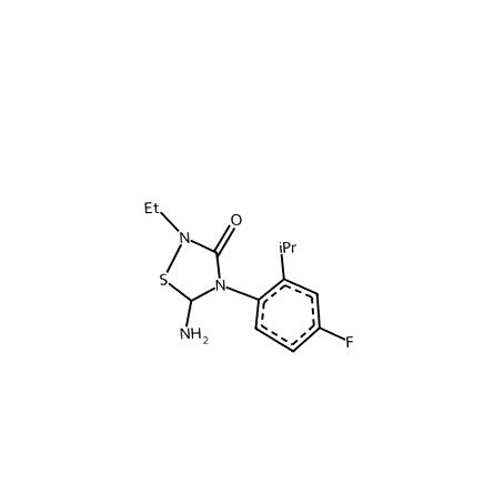 CCN1SC(N)N(c2ccc(F)cc2C(C)C)C1=O